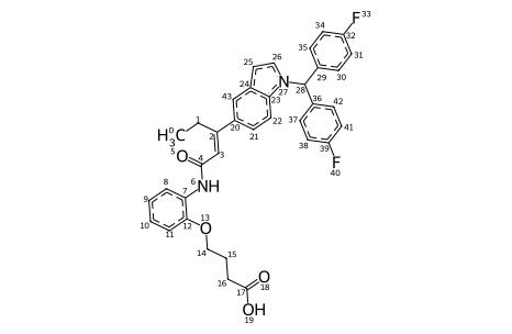 CCC(=CC(=O)Nc1ccccc1OCCCC(=O)O)c1ccc2c(ccn2C(c2ccc(F)cc2)c2ccc(F)cc2)c1